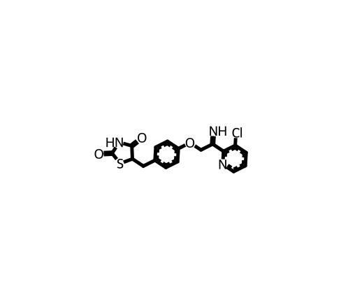 N=C(COc1ccc(CC2SC(=O)NC2=O)cc1)c1ncccc1Cl